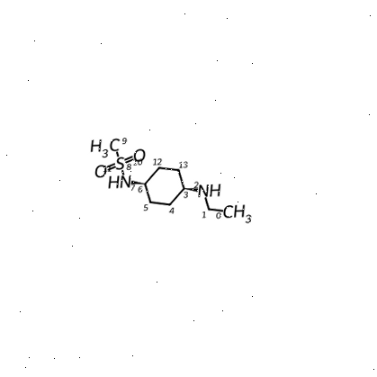 CCN[C@H]1CC[C@@H](NS(C)(=O)=O)CC1